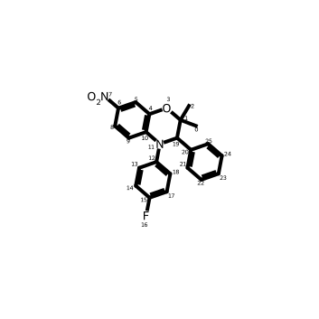 CC1(C)Oc2cc([N+](=O)[O-])ccc2N(c2ccc(F)cc2)C1c1ccccc1